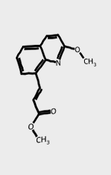 COC(=O)C=Cc1cccc2ccc(OC)nc12